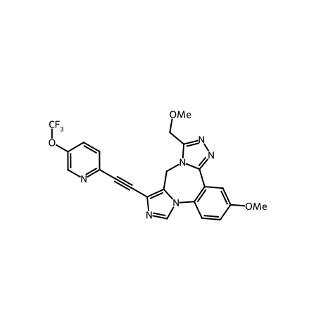 COCc1nnc2n1Cc1c(C#Cc3ccc(OC(F)(F)F)cn3)ncn1-c1ccc(OC)cc1-2